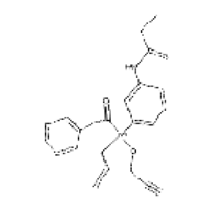 C#CCO[N+](CC=C)(C(=O)c1ccccc1)c1cccc(NC(=O)CC)c1